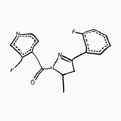 CC1CC(c2ccccc2F)=NN1C(=O)c1ccncc1F